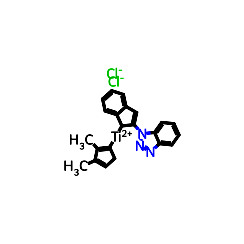 CC1=CC[C]([Ti+2][CH]2C(n3nnc4ccccc43)=Cc3ccccc32)=C1C.[Cl-].[Cl-]